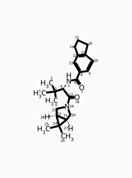 CC(C)(C)[C@H](NC(=O)c1ccc2c(c1)CCC2)C(=O)N1C[C@@H]2[C@H](C1)C2(C)C